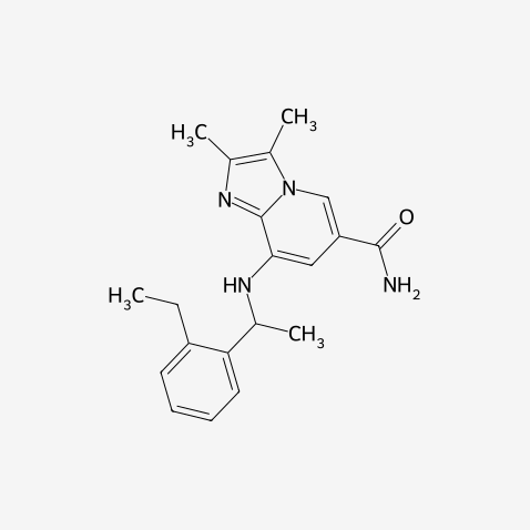 CCc1ccccc1C(C)Nc1cc(C(N)=O)cn2c(C)c(C)nc12